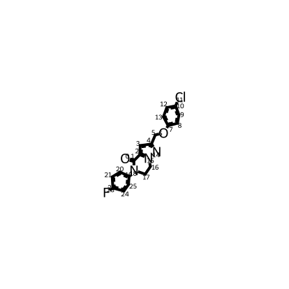 O=C1c2cc(COc3ccc(Cl)cc3)nn2CCN1c1ccc(F)cc1